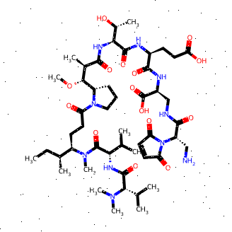 CC[C@H](C)[C@@H](CCC(=O)N1CCC[C@H]1[C@H](OC)[C@@H](C)C(=O)N[C@H](C(=O)N[C@@H](CCC(=O)O)C(=O)N[C@@H](CNC(=O)[C@H](CN)N1C(=O)C=CC1=O)C(=O)O)[C@@H](C)O)N(C)C(=O)[C@@H](NC(=O)[C@H](C(C)C)N(C)C)C(C)C